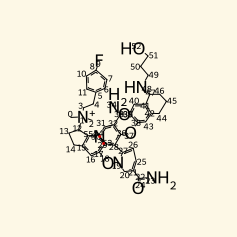 C[N+](C)(CCc1ccc(F)cc1)C1CCc2cc(ON3CC(C(N)=O)=CC=C3c3cncc(C(N)=O)c3Oc3ccc4c(c3)CCCC4NCCCO)ccc21